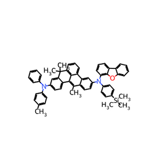 Cc1ccc(N(c2ccccc2)c2ccc3c(c2)C(C)(C)c2cccc4c2c-3c(C)c2ccc(N(c3ccc([Si](C)(C)C)cc3)c3cccc5c3oc3ccccc35)cc24)cc1